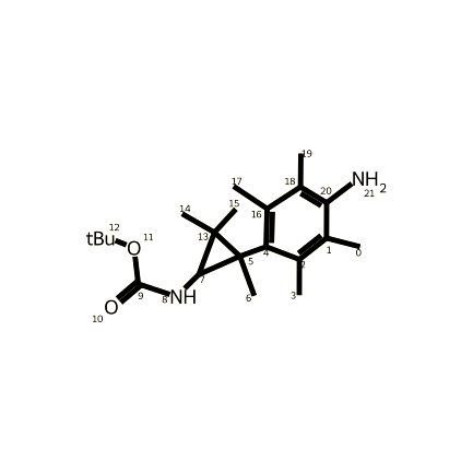 Cc1c(C)c(C2(C)C(NC(=O)OC(C)(C)C)C2(C)C)c(C)c(C)c1N